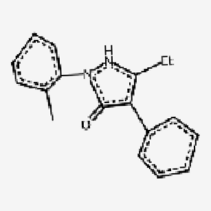 CCc1[nH]n(-c2ccccc2C)c(=O)c1-c1ccccc1